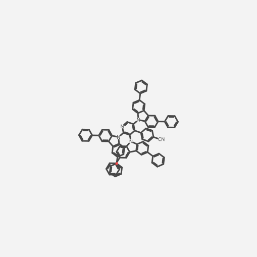 N#Cc1ccc(-c2c(-n3c4ccc(-c5ccccc5)cc4c4cc(-c5ccccc5)ccc43)cnc(-n3c4ccc(-c5ccccc5)cc4c4cc(-c5ccccc5)ccc43)c2-n2c3ccc(-c4ccccc4)cc3c3cc(-c4ccccc4)ccc32)cc1